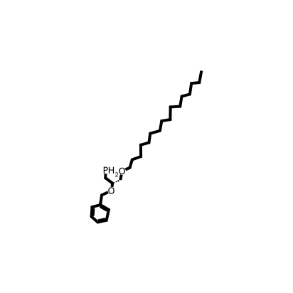 CCCCCCCCCCCCCCCCOC[C@@H](CP)OCc1ccccc1